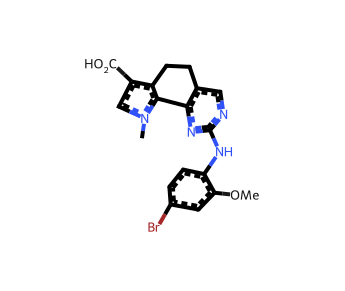 COc1cc(Br)ccc1Nc1ncc2c(n1)-c1c(c(C(=O)O)cn1C)CC2